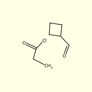 CCC(=O)Cl.O=CC1CCC1